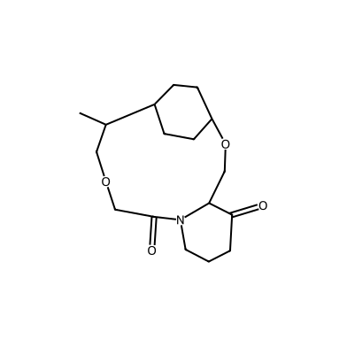 CC1COCC(=O)N2CCCC(=O)C2COC2CCC1CC2